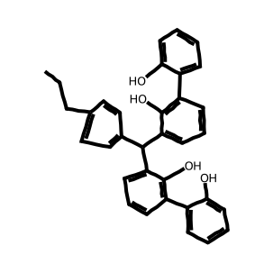 CCCc1ccc(C(c2cccc(-c3ccccc3O)c2O)c2cccc(-c3ccccc3O)c2O)cc1